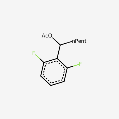 CCCCCC(OC(C)=O)c1c(F)cccc1F